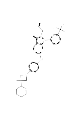 C=CCn1c(=O)c2cnc(Nc3ccc(N4CC(O)(C5CCCCN5)C4)cc3)nc2n1-c1cccc(C(C)(C)O)n1